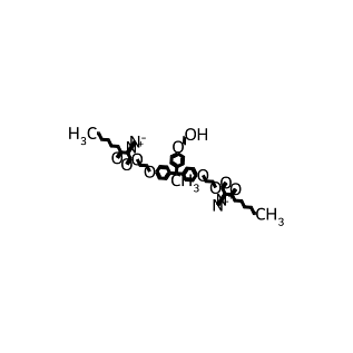 CCCCCCC(=O)C(=[N+]=[N-])C(=O)OCCOc1ccc(C(C)(c2ccc(OCCO)cc2)c2ccc(OCCOC(=O)C(=[N+]=[N-])C(=O)CCCCCC)cc2)cc1